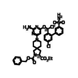 CCOC(=O)[C@@H]1CC2(CCN(c3cc(O[C@H](c4ccc(Cl)cc4-c4cccc(S(N)(=O)=O)c4)C(F)(F)F)nc(N)n3)CC2)CN1C(=O)OCc1ccccc1